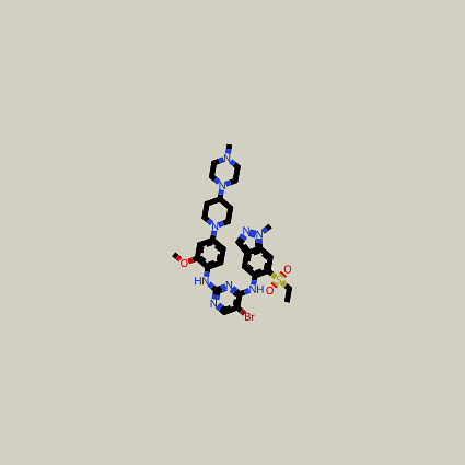 CCS(=O)(=O)c1cc2c(cnn2C)cc1Nc1nc(Nc2ccc(N3CCC(N4CCN(C)CC4)CC3)cc2OC)ncc1Br